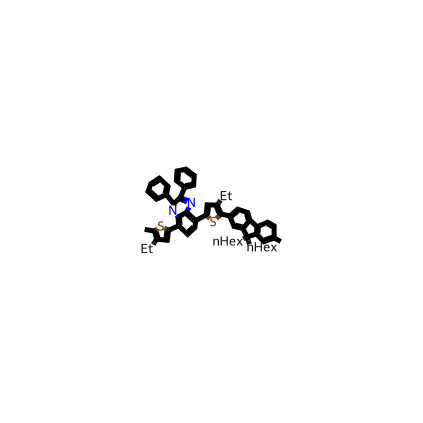 CCCCCCC1(CCCCCC)c2cc(C)ccc2-c2ccc(-c3sc(-c4ccc(-c5cc(CC)c(C)s5)c5nc(-c6ccccc6)c(-c6ccccc6)nc45)cc3CC)cc21